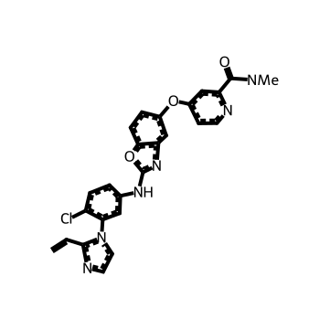 C=Cc1nccn1-c1cc(Nc2nc3cc(Oc4ccnc(C(=O)NC)c4)ccc3o2)ccc1Cl